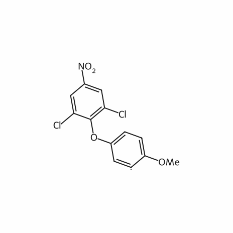 COc1[c]cc(Oc2c(Cl)cc([N+](=O)[O-])cc2Cl)cc1